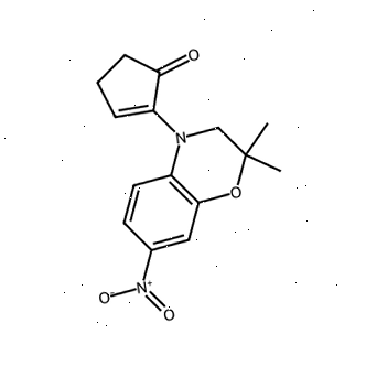 CC1(C)CN(C2=CCCC2=O)c2ccc([N+](=O)[O-])cc2O1